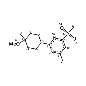 COC1(C)CCC(c2nc(C)cc(S(C)(=O)=O)n2)CC1